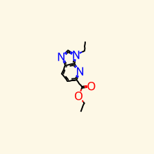 CCOC(=O)c1ccc2ncn(CC)c2n1